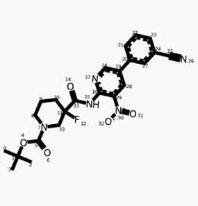 CC(C)(C)OC(=O)N1CCCC(F)(C(=O)Nc2ncc(-c3cccc(C#N)c3)cc2[N+](=O)[O-])C1